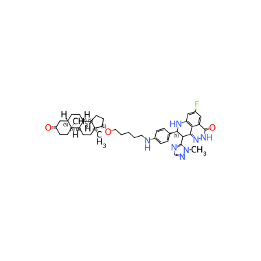 Cn1ncnc1C1c2n[nH]c(=O)c3cc(F)cc(c23)N[C@@H]1c1ccc(NCCCCCO[C@H]2CC[C@H]3[C@@H]4CC[C@H]5CC(=O)CC[C@]5(C)[C@H]4CC[C@]23C)cc1